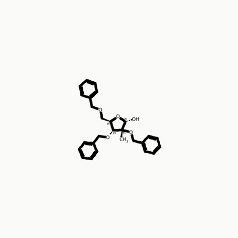 C[C@@]1(OCc2ccccc2)[C@H](OCc2ccccc2)[C@@H](COCc2ccccc2)O[C@@H]1O